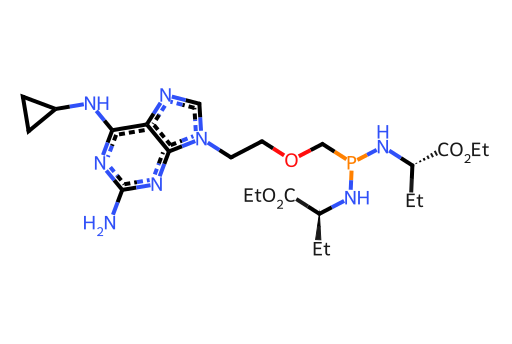 CCOC(=O)[C@H](CC)NP(COCCn1cnc2c(NC3CC3)nc(N)nc21)N[C@@H](CC)C(=O)OCC